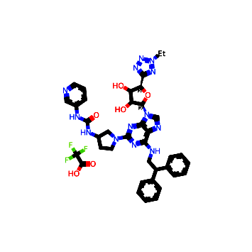 CCn1nnc([C@H]2O[C@@H](n3cnc4c(NCC(c5ccccc5)c5ccccc5)nc(N5CCC(NC(=O)Nc6cccnc6)C5)nc43)C(O)C2O)n1.O=C(O)C(F)(F)F